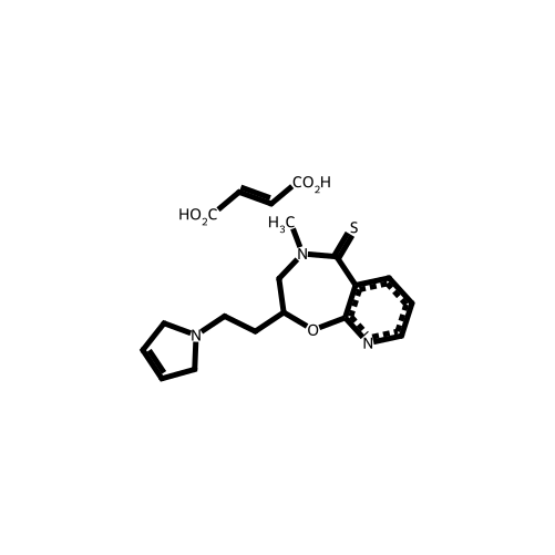 CN1CC(CCN2CC=CC2)Oc2ncccc2C1=S.O=C(O)C=CC(=O)O